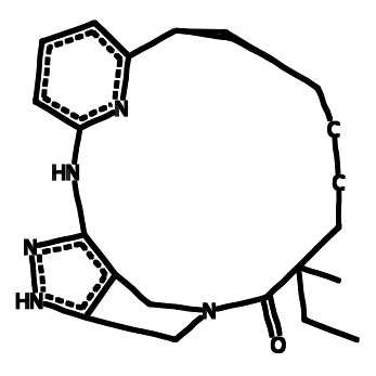 CCC1(C)CCCCC2CC(C2)c2cccc(n2)Nc2n[nH]c3c2CN(C3)C1=O